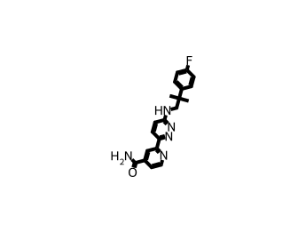 CC(C)(CNc1ccc(-c2cc(C(N)=O)ccn2)nn1)c1ccc(F)cc1